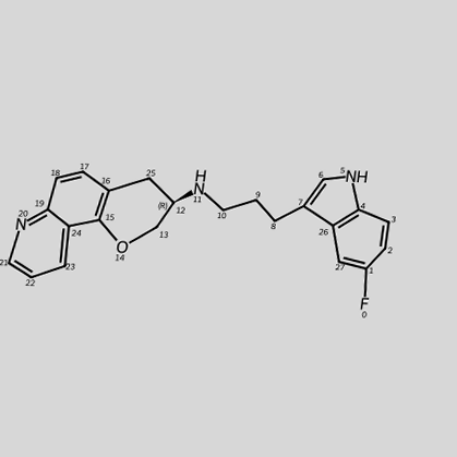 Fc1ccc2[nH]cc(CCCN[C@H]3COc4c(ccc5ncccc45)C3)c2c1